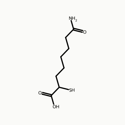 NC(=O)CCCCCC(S)C(=O)O